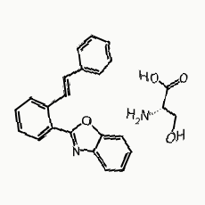 C(=Cc1ccccc1-c1nc2ccccc2o1)c1ccccc1.N[C@@H](CO)C(=O)O